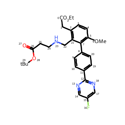 CCOC(=O)Cc1ccc(OC)c(-c2ccc(-c3ncc(F)cn3)cc2)c1CNCCC(=O)OC(C)(C)C